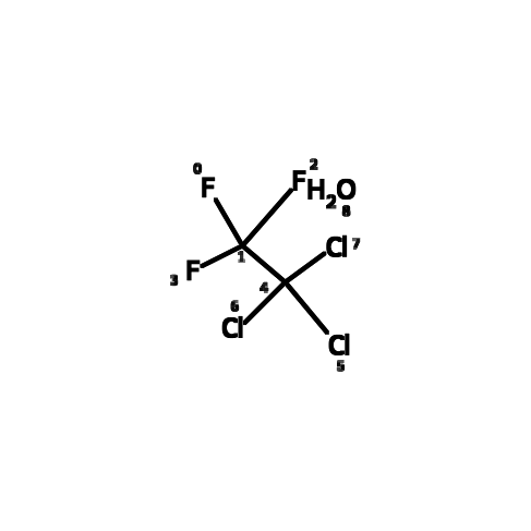 FC(F)(F)C(Cl)(Cl)Cl.O